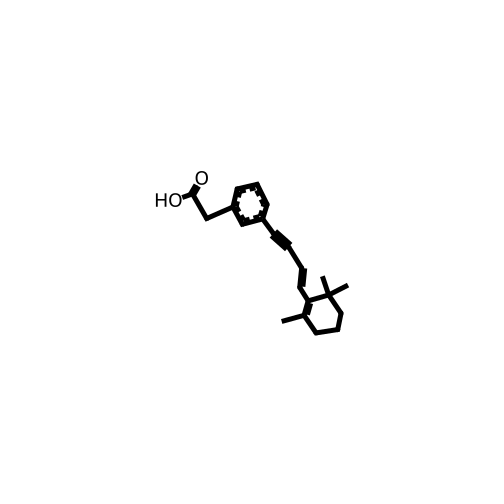 CC1=C(C=CC#Cc2cccc(CC(=O)O)c2)C(C)(C)CCC1